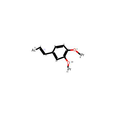 CC(=O)/C=C/c1ccc(OC(C)C)c(OC(C)C)c1